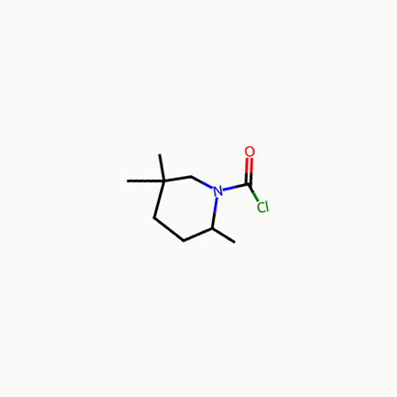 CC1CCC(C)(C)CN1C(=O)Cl